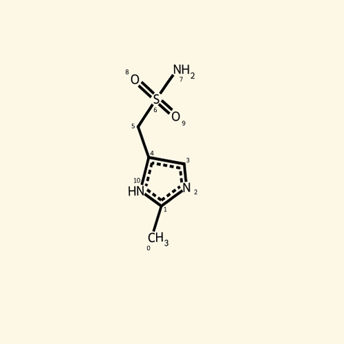 Cc1ncc(CS(N)(=O)=O)[nH]1